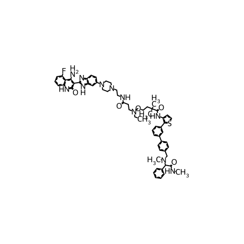 CCN(CCC(=O)NCCN1CCN(c2ccc3nc(-c4c(N)c5c(F)cccc5[nH]c4=O)[nH]c3c2)CC1)OCCC(C)(C)C(=O)Nc1ccsc1-c1cccc(-c2ccc(CN(C)C(C(=O)NC)c3ccccc3)cc2)c1